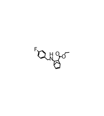 CCOC(=O)C1C2C=CC(C2)C1NCc1ccc(F)cc1